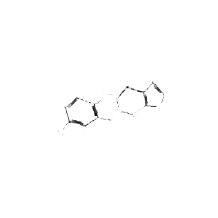 O=[N+]([O-])c1ccc(O)c(CN2CCc3ccsc3C2)c1